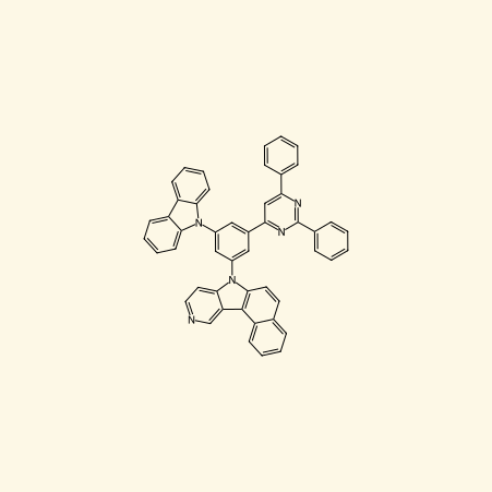 c1ccc(-c2cc(-c3cc(-n4c5ccccc5c5ccccc54)cc(-n4c5ccncc5c5c6ccccc6ccc54)c3)nc(-c3ccccc3)n2)cc1